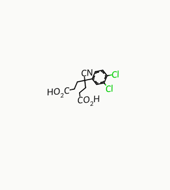 N#CC(CCC(=O)O)(CCC(=O)O)c1ccc(Cl)c(Cl)c1